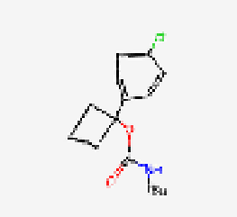 CC(C)(C)NC(=O)OC1(c2ccc(Cl)cc2)CCC1